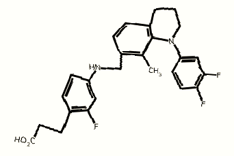 Cc1c(CNc2ccc(CCC(=O)O)c(F)c2)ccc2c1N(c1ccc(F)c(F)c1)CCC2